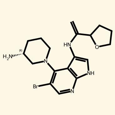 C=C(Nc1c[nH]c2ncc(Br)c(N3CCC[C@@H](N)C3)c12)C1CCCO1